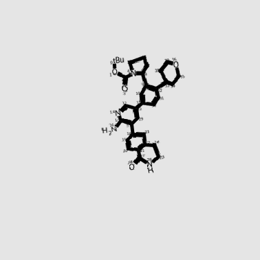 CC(C)(C)OC(=O)N1CCCC1c1cc(-c2cnc(N)c(-c3ccc4c(c3)CCNC4=O)c2)ccc1C1CCOCC1